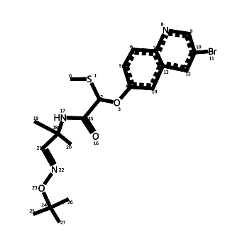 CSC(Oc1ccc2ncc(Br)cc2c1)C(=O)NC(C)(C)C=NOC(C)(C)C